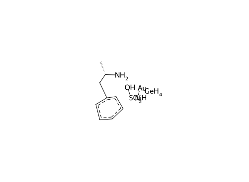 C[C@H](N)Cc1ccccc1.O=S(=O)(O)O.[GeH4].[Ni][Au]